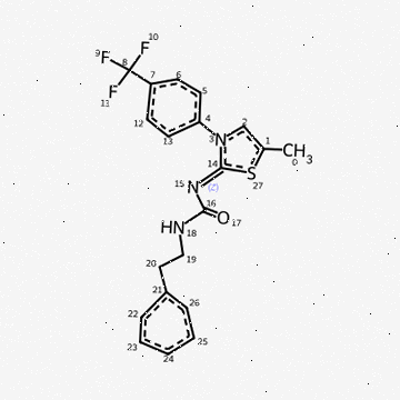 Cc1cn(-c2ccc(C(F)(F)F)cc2)/c(=N/C(=O)NCCc2ccccc2)s1